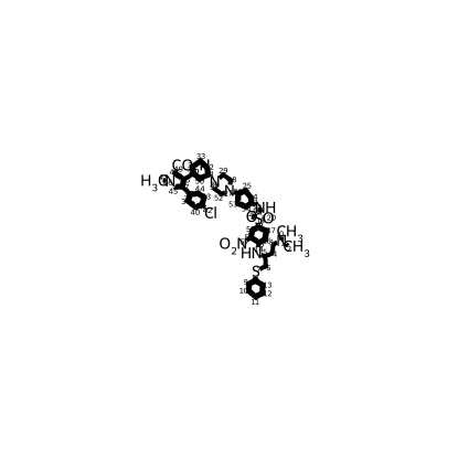 CN(C)CCC(CSc1ccccc1)Nc1ccc(S(=O)(=O)Nc2ccc(N3CCN(c4cccc(-c5c(-c6ccc(Cl)cc6)cn(C)c5C(=O)O)c4)CC3)cc2)cc1[N+](=O)[O-]